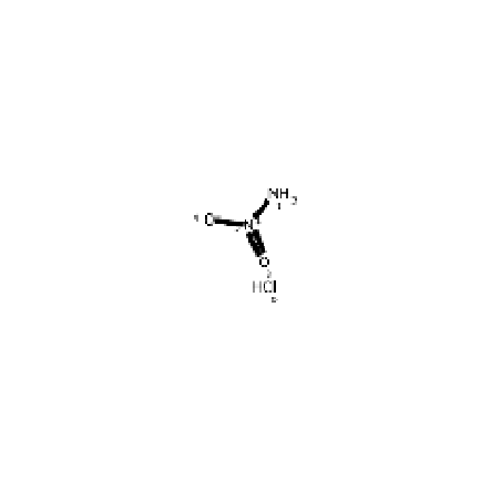 Cl.N[N+](=O)[O-]